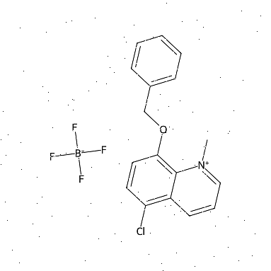 C[n+]1cccc2c(Cl)ccc(OCc3ccccc3)c21.F[B-](F)(F)F